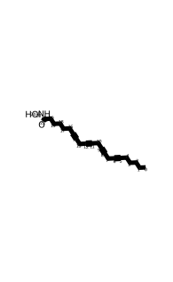 CCCCCC#CCC#CCC#CCC#CCCCCCC(=O)NO